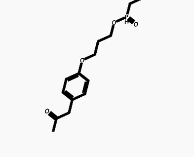 CC[PH](=O)OCCCOc1ccc(CC(C)=O)cc1